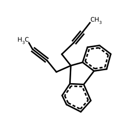 CC#CCC1(CC#CC)c2ccccc2-c2ccccc21